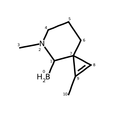 BC1N(C)CCCC12C=C2C